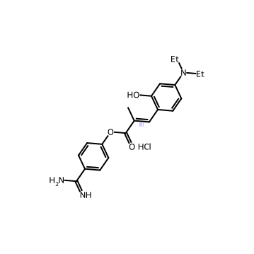 CCN(CC)c1ccc(/C=C(\C)C(=O)Oc2ccc(C(=N)N)cc2)c(O)c1.Cl